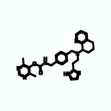 Cc1ncnc(C)c1OC(=O)NCc1ccc(CN(CCc2ncc[nH]2)C2CCCc3cccnc32)cc1